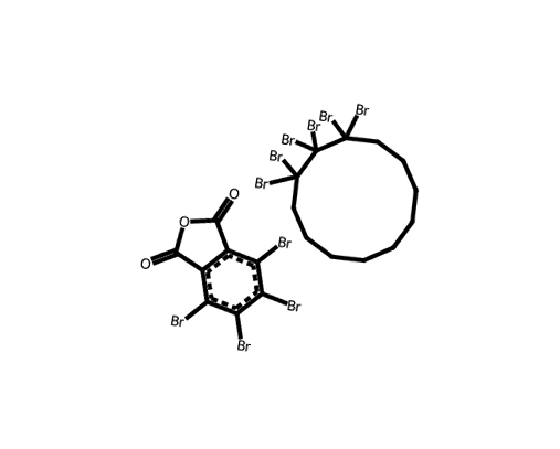 BrC1(Br)CCCCCCCCCC(Br)(Br)C1(Br)Br.O=C1OC(=O)c2c(Br)c(Br)c(Br)c(Br)c21